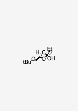 CCOC(C)(O)OCCOC(C)(C)C